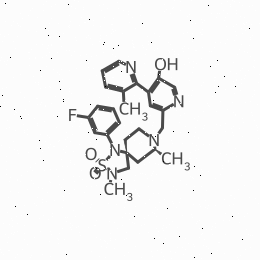 Cc1cccnc1-c1cc(CN2CC[C@@]3(C[C@@H]2C)CN(C)S(=O)(=O)N3c2cccc(F)c2)ncc1O